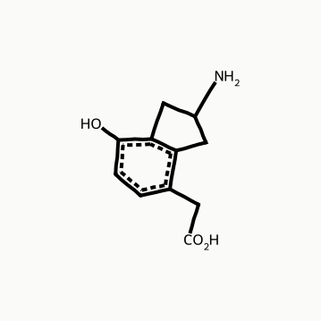 NC1Cc2c(O)ccc(CC(=O)O)c2C1